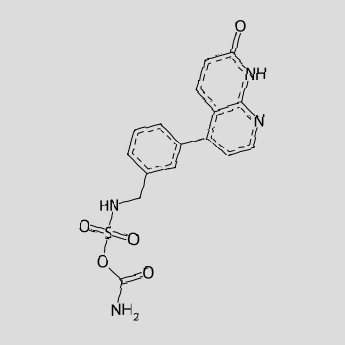 NC(=O)OS(=O)(=O)NCc1cccc(-c2ccnc3[nH]c(=O)ccc23)c1